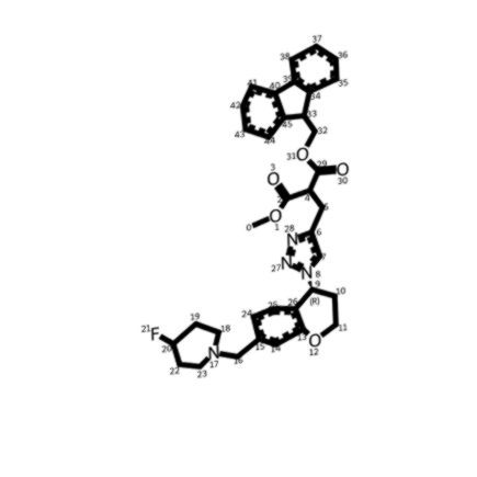 COC(=O)C(Cc1cn([C@@H]2CCOc3cc(CN4CCC(F)CC4)ccc32)nn1)C(=O)OCC1c2ccccc2-c2ccccc21